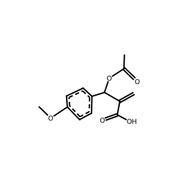 C=C(C(=O)O)C(OC(C)=O)c1ccc(OC)cc1